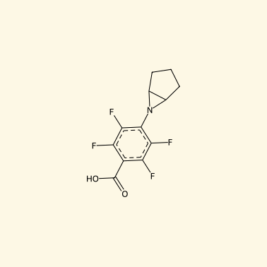 O=C(O)c1c(F)c(F)c(N2C3CCCC32)c(F)c1F